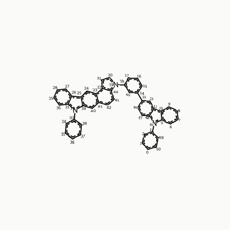 c1ccc(-n2c3ccccc3c3cc(-c4cccc(-n5ccc6c7cc8c9ccccc9n(-c9ccccc9)c8cc7ccc65)c4)ccc32)cc1